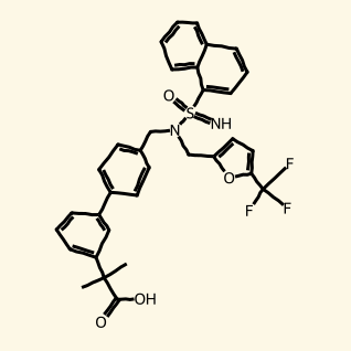 CC(C)(C(=O)O)c1cccc(-c2ccc(CN(Cc3ccc(C(F)(F)F)o3)S(=N)(=O)c3cccc4ccccc34)cc2)c1